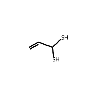 C=CC(S)S